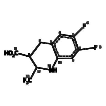 O=C(O)C1Cc2cc(F)c(F)cc2NC1C(F)(F)F